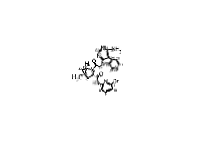 C[C@@]12C[C@@H](C(=O)Nc3cccc(Br)n3)N(C(=O)Cn3c4cnccc4c4c(N)ncnc43)[C@@H]1C2